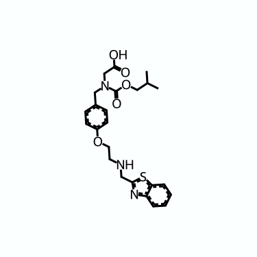 CC(C)COC(=O)N(CC(=O)O)Cc1ccc(OCCNCc2nc3ccccc3s2)cc1